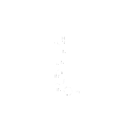 Cc1[nH]c(/C=C2\C(=O)Nc3ccc(Br)cc32)c(C)c1C(=O)NCCN1CCNC(=O)C1